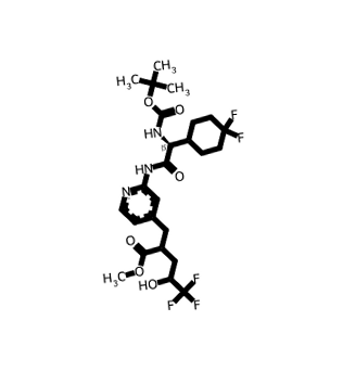 COC(=O)C(Cc1ccnc(NC(=O)[C@@H](NC(=O)OC(C)(C)C)C2CCC(F)(F)CC2)c1)CC(O)C(F)(F)F